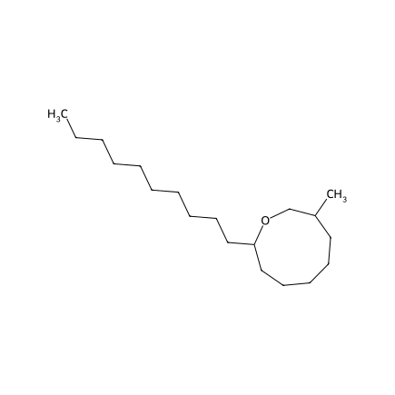 CCCCCCCCCCC1CCCCCC(C)CO1